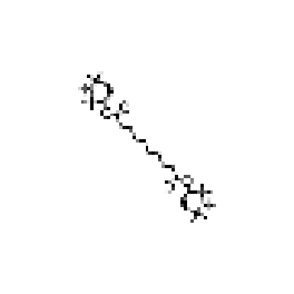 CN1C(C)(C)C#CC(OC(=O)CCCCCCCCC(=O)OC2C#CC(C)(C)N(C)C2(C)C)C1(C)C